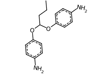 CCCC(Oc1ccc(N)cc1)Oc1ccc(N)cc1